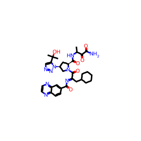 CC(NC(=O)[C@@H]1C[C@H](n2nncc2C(C)(C)O)CN1C(=O)/C(CC1CCCCC1)=N/C(=O)c1ccc2nccnc2c1)C(=O)C(N)=O